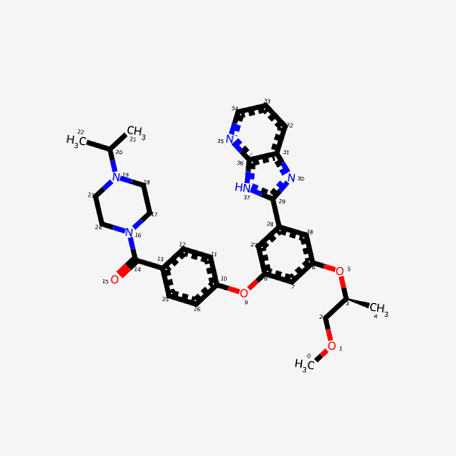 COC[C@H](C)Oc1cc(Oc2ccc(C(=O)N3CCN(C(C)C)CC3)cc2)cc(-c2nc3cccnc3[nH]2)c1